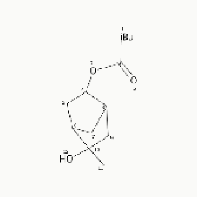 CCC(C)C(=O)OC1CC2CC1CC2(C)O